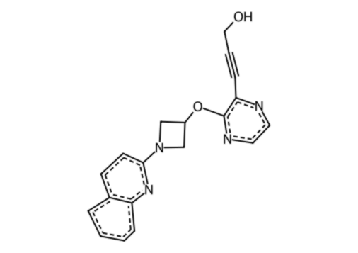 OCC#Cc1nccnc1OC1CN(c2ccc3ccccc3n2)C1